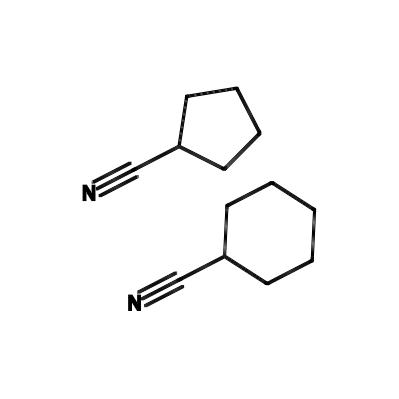 N#CC1CCCC1.N#CC1CCCCC1